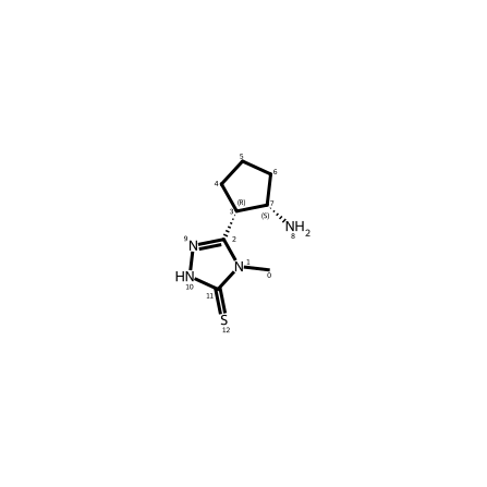 Cn1c([C@@H]2CCC[C@@H]2N)n[nH]c1=S